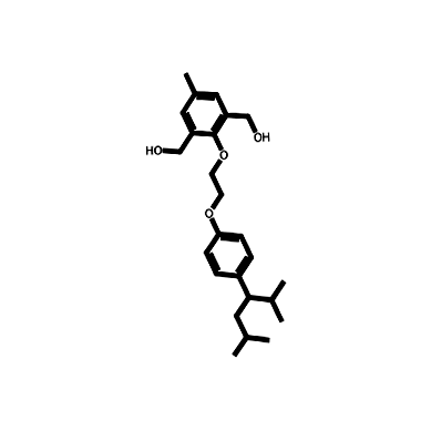 Cc1cc(CO)c(OCCOc2ccc(C(CC(C)C)C(C)C)cc2)c(CO)c1